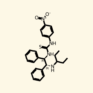 CCC(CC)N[C@H](c1ccccc1)[C@H](NC(=S)Nc1ccc([N+](=O)[O-])cc1)c1ccccc1